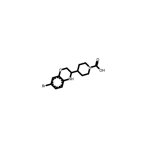 O=C(O)N1CCC(C2COc3cc(Br)ccc3N2)CC1